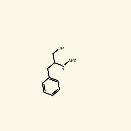 O=CNC(CO)Cc1ccccc1